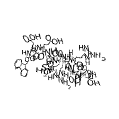 CSCC[C@H](NC(=O)[C@H](CCC(=O)O)NC(=O)[C@H](CCC(=O)O)NC(=O)OCC1c2ccccc2-c2ccccc21)C(=O)N[C@@H](CCC(N)=O)C(=O)N[C@@H](CCCNC(=N)N)C(=O)N[C@@H](CCCNC(=N)N)C(=O)N[C@@H](CO)C(=O)N[C@@H](CC(=O)O)C(=O)O